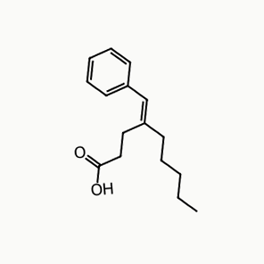 CCCCCC(=Cc1ccccc1)CCC(=O)O